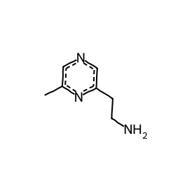 Cc1cncc(CCN)n1